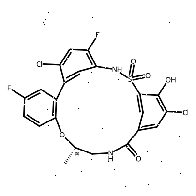 C[C@H]1CNC(=O)c2cc(Cl)c(O)c(c2)S(=O)(=O)Nc2cc(c(Cl)cc2F)-c2cc(F)ccc2O1